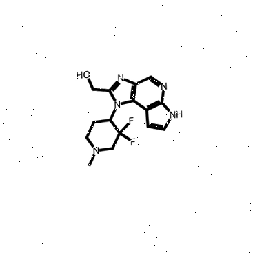 CN1CCC(n2c(CO)nc3cnc4[nH]ccc4c32)C(F)(F)C1